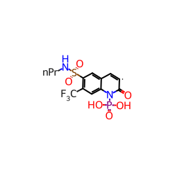 CCCNS(=O)(=O)c1cc2c[c]c(=O)n(P(=O)(O)O)c2cc1C(F)(F)F